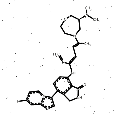 C=N/C(=C\C=C(/C)N1CCOC[C@@H](N(C)C)C1)Nc1ccc(-c2cnc3cc(F)ccn23)c2c1C(=O)NC2